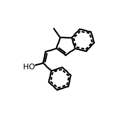 CC1C(/C=C(/O)c2ccccc2)=Cc2ccccc21